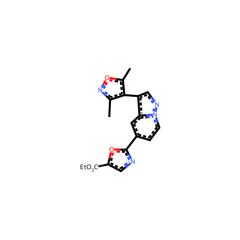 CCOC(=O)c1cnc(-c2ccn3ncc(-c4c(C)noc4C)c3c2)o1